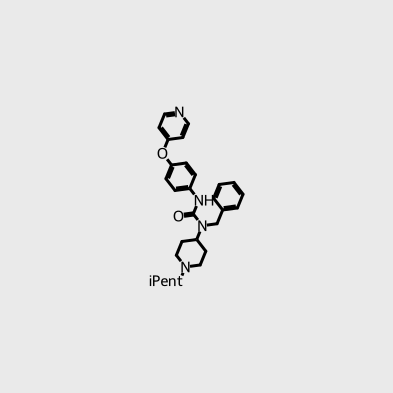 CCCC(C)N1CCC(N(Cc2ccccc2)C(=O)Nc2ccc(Oc3ccncc3)cc2)CC1